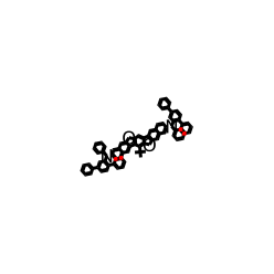 CC(C)(C)c1c2oc3cc4cc(N(c5ccccc5)c5cc(-c6ccccc6)ccc5-c5ccccc5)ccc4cc3c2cc2oc3cc4cc(N(c5ccccc5)c5cc(-c6ccccc6)ccc5-c5ccccc5)ccc4cc3c12